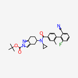 Cc1cc(C(=O)N(C2CC2)C2CCc3nn(C(=O)OC(C)(C)C)cc3C2)ccc1-c1c(F)cccc1C#N